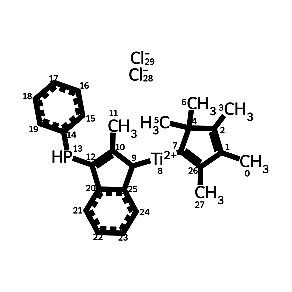 CC1=C(C)C(C)(C)[C]([Ti+2][CH]2C(C)=C(Pc3ccccc3)c3ccccc32)=C1C.[Cl-].[Cl-]